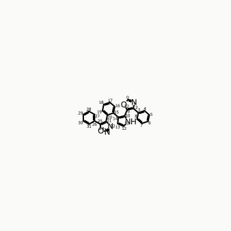 [c]1nc(-c2ccccc2)c(-c2[nH]ccc2-c2ccccc2-c2nnoc2-c2ccccc2)o1